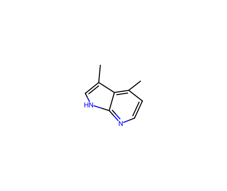 Cc1ccnc2[nH]cc(C)c12